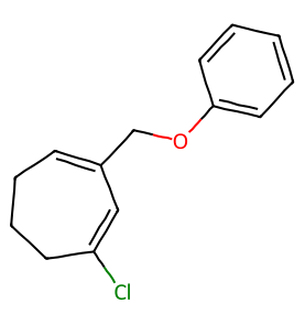 ClC1=CC(COc2ccccc2)=CCCC1